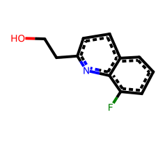 OCCc1ccc2cccc(F)c2n1